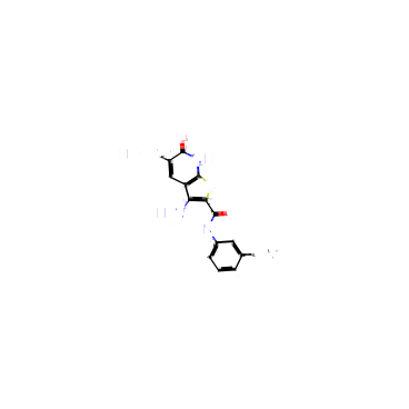 COc1cccc(NC(=O)c2sc3[nH]c(=O)c(C(=O)O)cc3c2N)c1